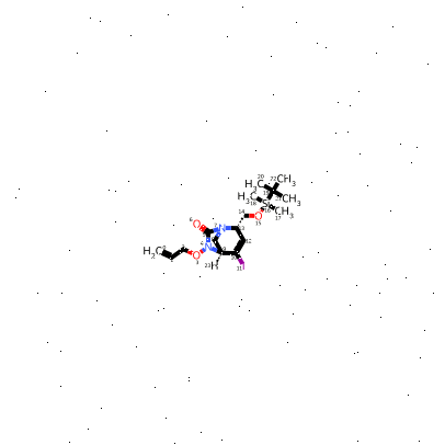 C=CCON1C(=O)N2C[C@H]1C(I)=C[C@H]2CO[Si](C)(C)C(C)(C)C